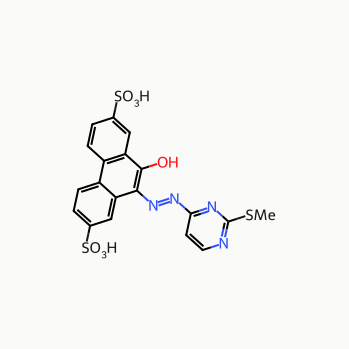 CSc1nccc(/N=N/c2c(O)c3cc(S(=O)(=O)O)ccc3c3ccc(S(=O)(=O)O)cc23)n1